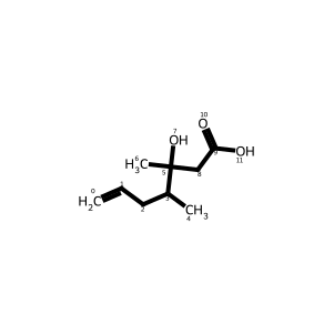 C=CCC(C)C(C)(O)CC(=O)O